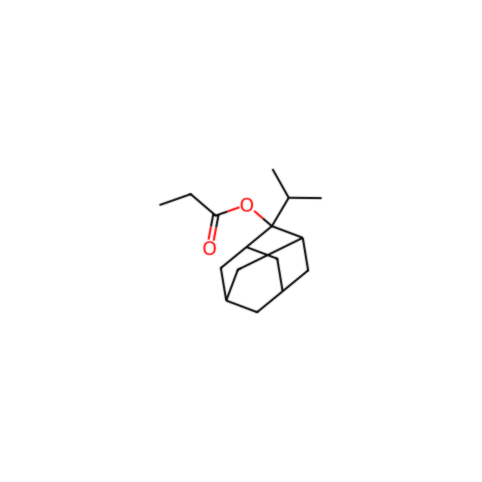 CCC(=O)OC1(C(C)C)C2CC3CC(C2)CC1C3